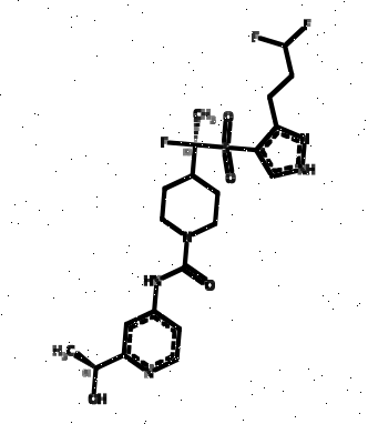 C[C@H](O)c1cc(NC(=O)N2CCC([C@@](C)(F)S(=O)(=O)c3c[nH]nc3CCC(F)F)CC2)ccn1